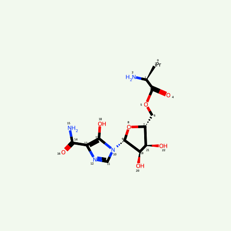 CC(C)[C@H](N)C(=O)OC[C@H]1O[C@@H](n2cnc(C(N)=O)c2O)[C@H](O)[C@@H]1O